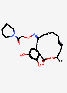 CCCC1C/C=C/CCCC/C(=N/OCC(=O)N2CCCCC2)Cc2cc(O)cc(O)c2C(=O)O1